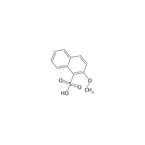 COc1ccc2ccccc2c1S(=O)(=O)O